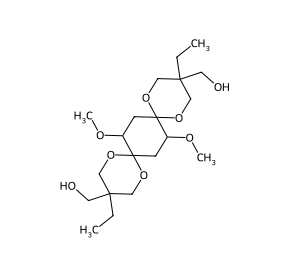 CCC1(CO)COC2(CC(OC)C3(CC2OC)OCC(CC)(CO)CO3)OC1